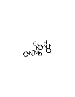 O=C(c1cc(Nc2ccccc2F)cc(Cl)n1)N1CCN(c2ccccc2)CC1